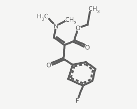 CCOC(=O)C(=CN(C)C)C(=O)c1cccc(F)c1